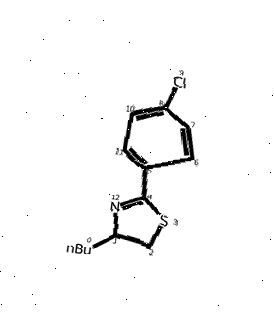 CCCCC1CSC(c2ccc(Cl)cc2)=N1